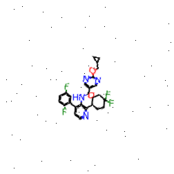 O=C(Nc1c(-c2cc(F)ccc2F)ccnc1C1CCC(F)(F)CC1)c1cnc(OCC2CC2)nc1